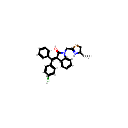 O=C(O)C1CSC(CN2C(=O)/C(=C(\c3ccccc3)c3ccc(Cl)cc3)c3ccccc32)=N1